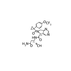 C#C[C@H](CC(N)=O)NC(=O)[C@@H]1c2cncnc2CN1C(=O)C1(c2ccc(OC(F)(F)F)cc2)CC1